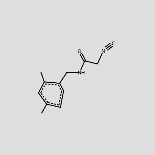 [C-]#[N+]CC(=O)NCc1ccc(C)cc1C